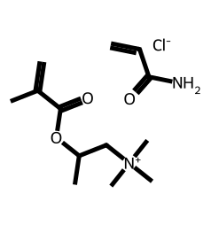 C=C(C)C(=O)OC(C)C[N+](C)(C)C.C=CC(N)=O.[Cl-]